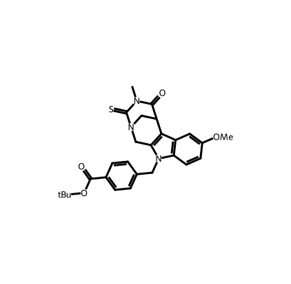 COc1ccc2c(c1)c1c(n2Cc2ccc(C(=O)OC(C)(C)C)cc2)CN2CC1C(=O)N(C)C2=S